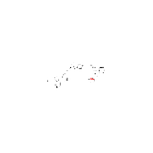 CCN(CCCNCC(O)c1ccc(O)c2[nH]c(=O)ccc12)C(=O)c1ccc(CCC(=O)N2CC(C(=O)O[C@H]3CN4CCC3CC4)(c3ccccc3)C2)cc1